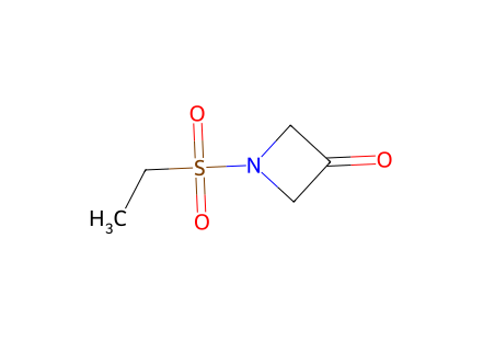 CCS(=O)(=O)N1CC(=O)C1